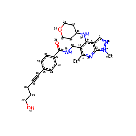 CCc1nc2c(cnn2CC)c(NC2CCOCC2)c1CNC(=O)c1ccc(C#CCCCO)cc1